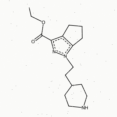 CCOC(=O)c1nn(CCC2CCNCC2)c2c1CCC2